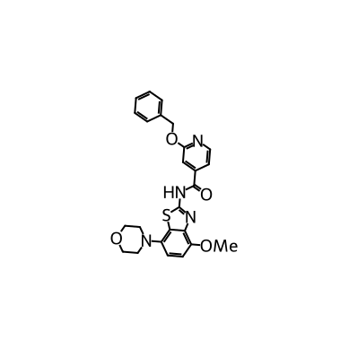 COc1ccc(N2CCOCC2)c2sc(NC(=O)c3ccnc(OCc4ccccc4)c3)nc12